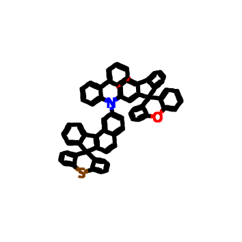 c1ccc(-c2ccccc2N(c2ccc3c(c2)C2(c4ccccc4Oc4ccccc42)c2ccccc2-3)c2ccc3ccc4c(c3c2)-c2ccccc2C42c3ccccc3Sc3ccccc32)cc1